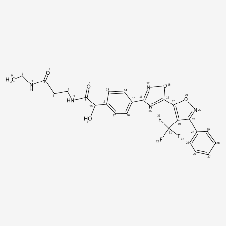 CCNC(=O)CCNC(=O)C(O)c1ccc(-c2noc(-c3onc(-c4ccccc4)c3C(F)(F)F)n2)cc1